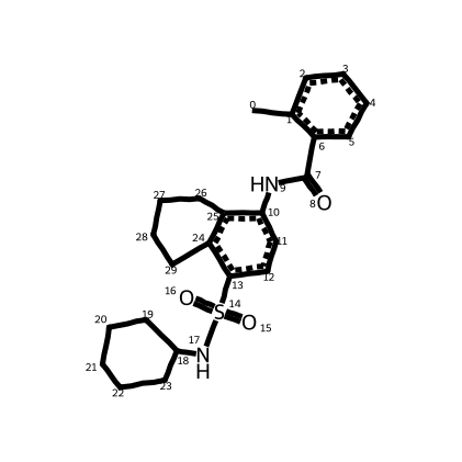 Cc1ccccc1C(=O)Nc1ccc(S(=O)(=O)NC2CCCCC2)c2c1CCCC2